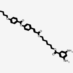 CCCCOc1ccc(C(=O)Oc2ccc(/C=C/C(=O)OCCCCCCOC(=O)c3cc(N)cc(N)c3)cc2)cc1